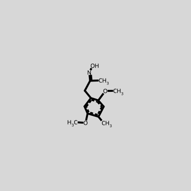 COc1cc(C/C(C)=N/O)c(OC)cc1C